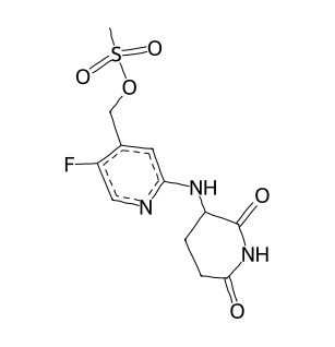 CS(=O)(=O)OCc1cc(NC2CCC(=O)NC2=O)ncc1F